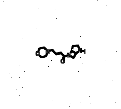 O=C(/C=C/CN1CCOCC1)N1CC2C1CCN2I